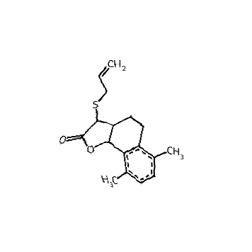 C=CCSC1C(=O)OC2c3c(C)ccc(C)c3CCC12